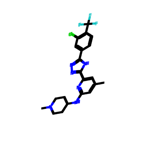 Cc1cc(NC2CCN(C)CC2)nc(-c2nnc(-c3ccc(C(F)(F)F)c(Cl)c3)[nH]2)c1